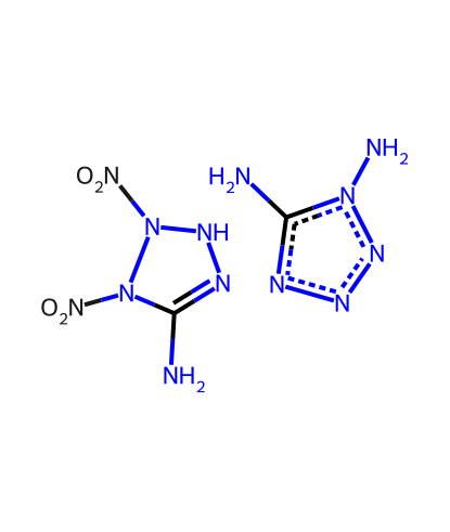 NC1=NNN([N+](=O)[O-])N1[N+](=O)[O-].Nc1nnnn1N